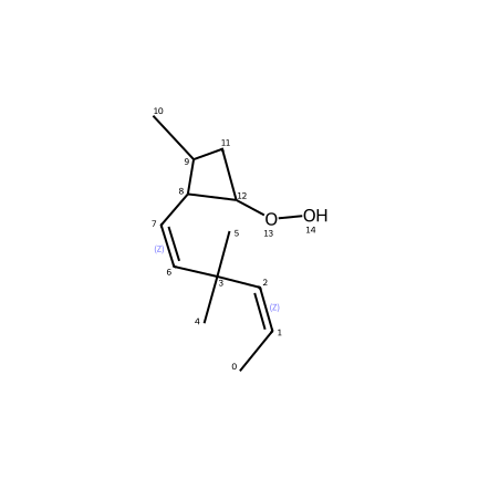 C/C=C\C(C)(C)/C=C\C1C(C)CC1OO